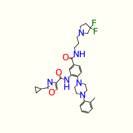 Cc1ccccc1N1CCN(c2ccc(C(=O)NCCCN3CCC(F)(F)C3)cc2NC(=O)c2coc(C3CC3)n2)CC1